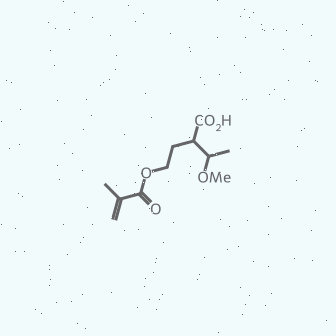 C=C(C)C(=O)OCCC(C(=O)O)C(C)OC